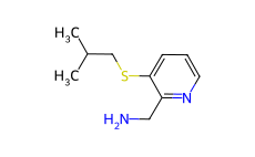 CC(C)CSc1cccnc1CN